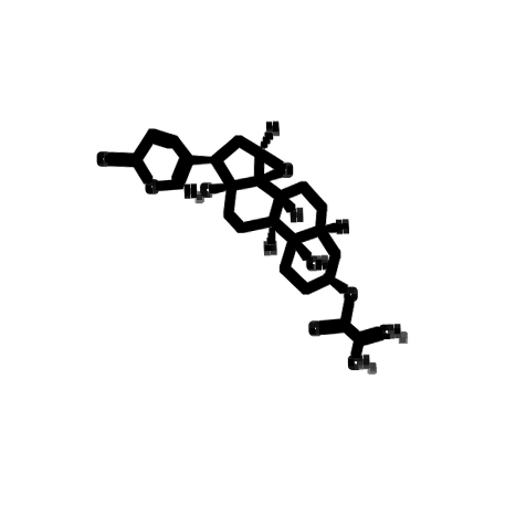 C=C(C)C(=O)O[C@H]1CC[C@@]2(C)[C@H](CC[C@@H]3[C@@H]2CC[C@]2(C)[C@@H](c4ccc(=O)oc4)C[C@H]4O[C@]342)C1